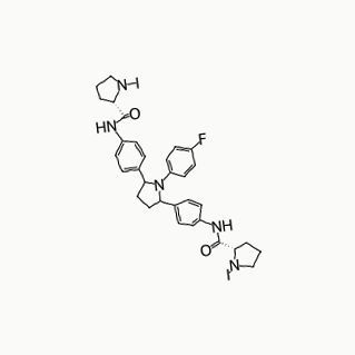 O=C(Nc1ccc(C2CCC(c3ccc(NC(=O)[C@@H]4CCCN4I)cc3)N2c2ccc(F)cc2)cc1)[C@@H]1CCCN1I